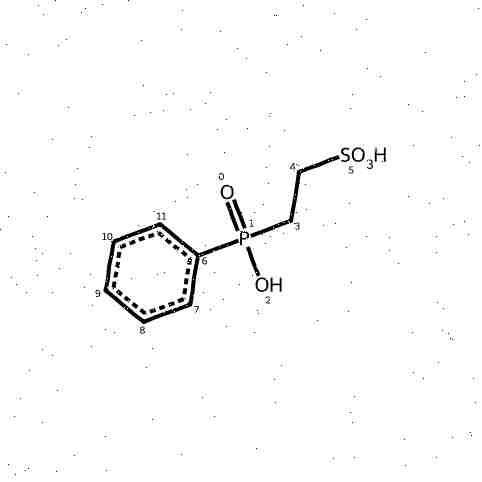 O=P(O)(CCS(=O)(=O)O)c1ccccc1